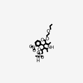 CCCOCCOC(=O)C1=C(C)NC(C)=C(C(=O)CS(=O)(=O)NC)C1c1cccc([N+](=O)[O-])c1